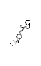 O=C(CCN1CCN(SN2CCCCC2)CC1)N1CCc2ccccc21